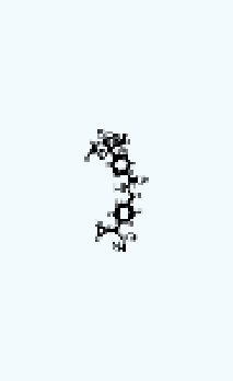 CC(C)OC(c1ccc(C(=O)NCc2ccc(C(C3CC3)[SH](=O)=O)cc2)cc1)(C(F)(F)F)C(F)(F)F